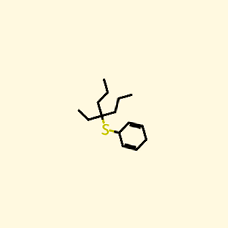 CCCC(CC)(CCC)SC1C=CCC=C1